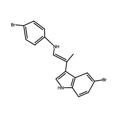 C/C(=C\Nc1ccc(Br)cc1)c1c[nH]c2ccc(Br)cc12